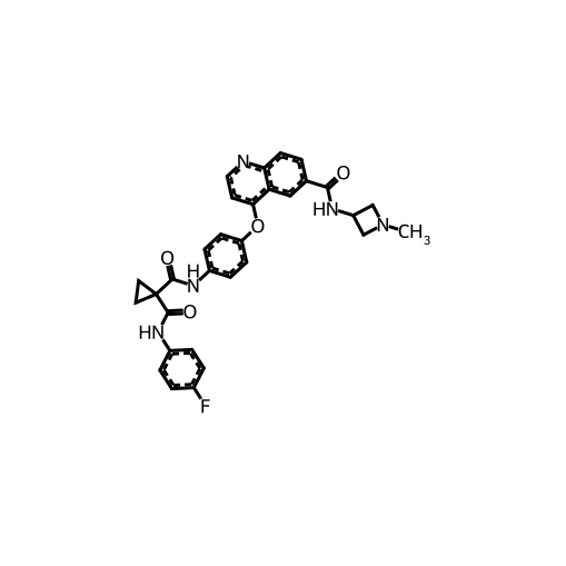 CN1CC(NC(=O)c2ccc3nccc(Oc4ccc(NC(=O)C5(C(=O)Nc6ccc(F)cc6)CC5)cc4)c3c2)C1